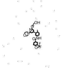 Cc1ccc(NC(=O)c2ccc3c(c2)C(F)(F)CO3)cc1-c1cc(OCCO)nc(N2CCOCC2)c1